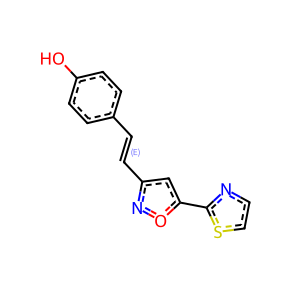 Oc1ccc(/C=C/c2cc(-c3nccs3)on2)cc1